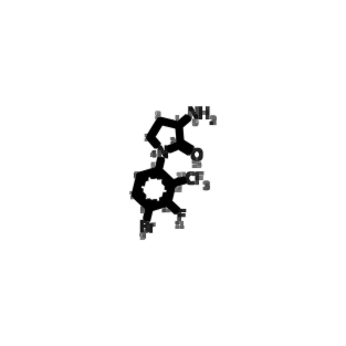 NC1CCN(c2ccc(Br)c(F)c2C(F)(F)F)C1=O